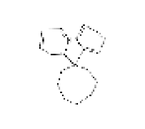 c1ccc(C2(c3ccccn3)CCCCCCC2)nc1